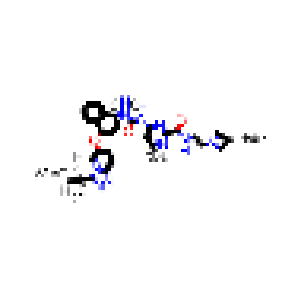 COCC(C)(C)c1nnc2ccc(O[C@@H]3C=C[C@](C=O)(NC(=O)Nc4cc(C(C)(C)C)nc(C(=O)NCCN5CC(OC)C5)n4)c4ccccc43)cn12